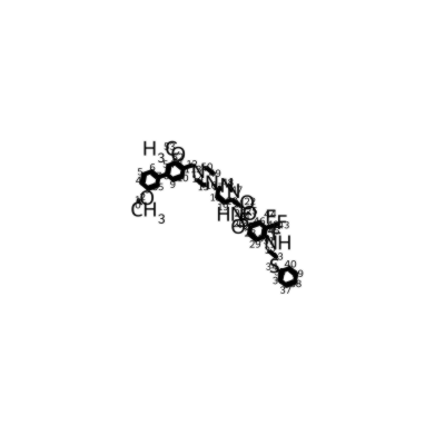 CCOc1cccc(-c2ccc(CN3CCN(c4ccc(C(=O)NS(=O)(=O)c5ccc(NCCSc6ccccc6)c(C(F)(F)F)c5)nn4)CC3)c(OC)c2)c1